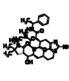 C[C@H](NC(=O)C[C@@H](Cc1csc(N)n1)C(=O)N(CC(=O)N(C)C)[C@@H](CC1CCCCC1)[C@@H](O)[C@@H]1CC(C)(C)N(C)C1=O)c1ccccc1